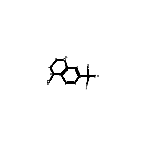 FC(F)(F)c1ccc2c(c1)OCCC2Cl